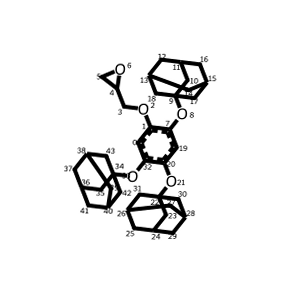 c1c(OCC2CO2)c(OC23CC4CC(CC(C4)C2)C3)cc(OC23CC4CC(CC(C4)C2)C3)c1OC12CC3CC(CC(C3)C1)C2